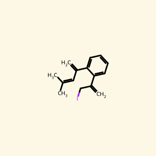 C=C(C=C(C)C)c1ccccc1C(=C)CI